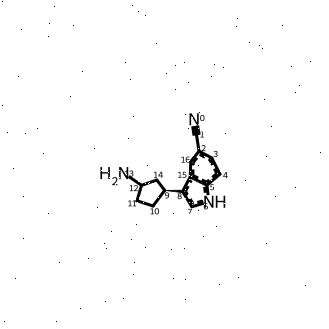 N#Cc1ccc2[nH]cc([C@H]3CCC(N)C3)c2c1